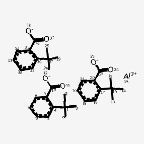 CC(C)(C)c1ccccc1C(=O)[O-].CC(C)(C)c1ccccc1C(=O)[O-].CC(C)(C)c1ccccc1C(=O)[O-].[Al+3]